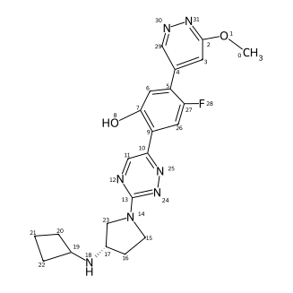 COc1cc(-c2cc(O)c(-c3cnc(N4CC[C@H](NC5CCC5)C4)nn3)cc2F)cnn1